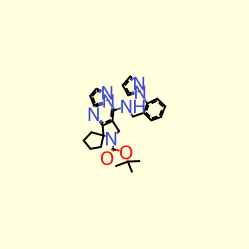 CC(C)(C)OC(=O)N1Cc2c(nc3ccnn3c2NCc2ccccc2-n2cccn2)C12CCCC2